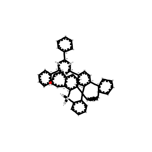 O=S1(=O)c2ccccc2C2(c3ccccc3-c3ccccc3-c3ccc(-c4nc(-c5ccccc5)nc(-c5ccccc5)n4)cc32)c2ccc3ccccc3c21